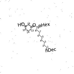 CCCCCCCCCCCCCCCCCCC(CCCCCC)Oc1cccc(O)c1